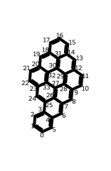 c1ccc2c(c1)cc1cc3ccc4cc5cccc6cc7ccc8cc2c1c1c3c4c(c56)c7c81